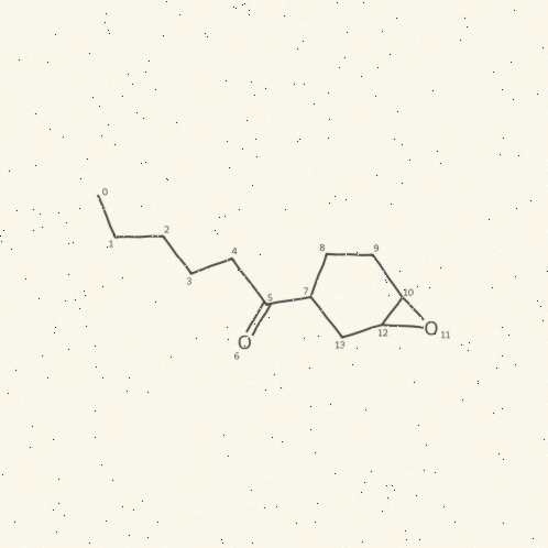 CCCCCC(=O)C1CCC2OC2C1